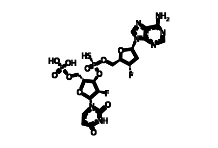 Nc1ncnc2c1ncn2[C@H]1C[C@H](F)[C@@H](CO[P@@](=O)(S)O[C@H]2[C@@H](F)[C@H](n3ccc(=O)[nH]c3=O)O[C@@H]2COP(=O)(O)O)O1